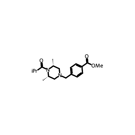 COC(=O)c1ccc(CN2C[C@@H](C)N(C(=O)C(C)C)[C@@H](C)C2)cc1